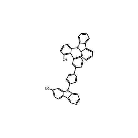 N#Cc1ccc2c3ccccc3n(-c3ccc(-c4cccc(-c5c(C#N)cccc5-n5c6ccccc6c6ccccc65)c4)cc3)c2c1